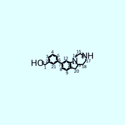 OCc1cccc(-c2ccc3c(c2)N2CCNCCC2C3)c1